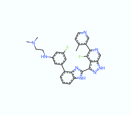 Cc1ccncc1-c1ncc2[nH]nc(-c3nc4c(-c5cc(F)cc(NCCN(C)C)c5)cccc4[nH]3)c2c1F